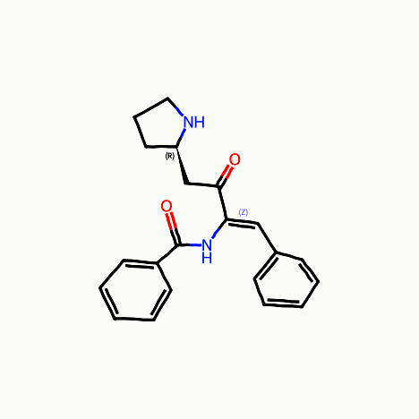 O=C(C[C@H]1CCCN1)/C(=C/c1ccccc1)NC(=O)c1ccccc1